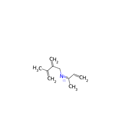 C=C/C(C)=N\CC(=C)C(=C)C